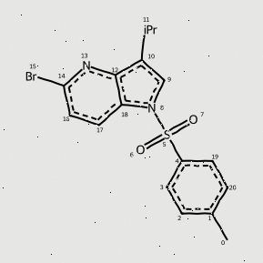 Cc1ccc(S(=O)(=O)n2cc(C(C)C)c3nc(Br)ccc32)cc1